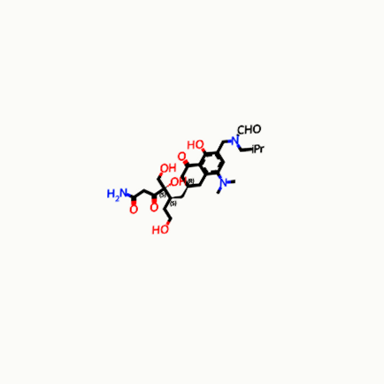 CC(C)CN(C=O)Cc1cc(N(C)C)c2c(c1O)C(=O)C[C@H](C[C@@H](CCO)[C@](O)(CO)C(=O)CC(N)=O)C2